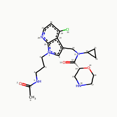 CC(=O)NCCCn1cc(CN(C(=O)[C@H]2CNCCO2)C2CC2)c2c(Cl)ccnc21